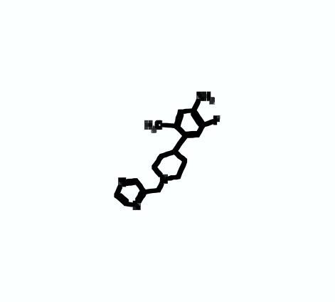 Cc1cc(N)c(F)cc1C1CCN(Cc2cnccn2)CC1